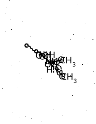 COCCOCC(=O)NCCCC[C@H](NC(=O)COCCOC)C(=O)NCCCC(=O)ONC(=O)Cc1ccc(CCCCc2ccccc2)cc1